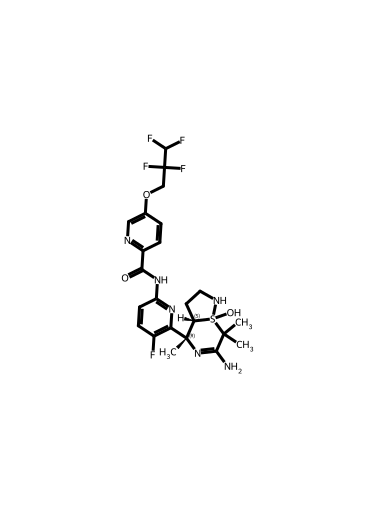 CC1(C)C(N)=N[C@](C)(c2nc(NC(=O)c3ccc(OCC(F)(F)C(F)F)cn3)ccc2F)[C@@H]2CCNS21O